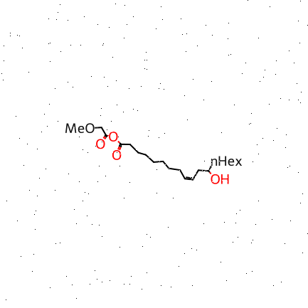 CCCCCC[C@@H](O)C/C=C\CCCCCCCC(=O)OC(=O)COC